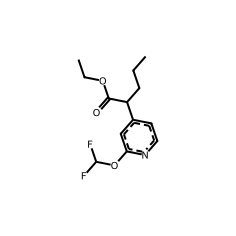 CCCC(C(=O)OCC)c1ccnc(OC(F)F)c1